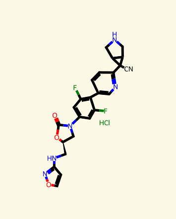 Cl.N#CC1(c2ccc(-c3c(F)cc(N4C[C@@H](CNc5ccon5)OC4=O)cc3F)cn2)C2CNCC21